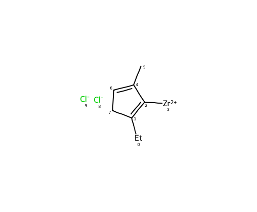 CCC1=[C]([Zr+2])C(C)=CC1.[Cl-].[Cl-]